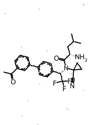 CC(=O)c1cccc(-c2ccc([C@H](N(C(=O)[C@@H](N)CC(C)C)C3(C#N)CC3)C(F)(F)F)cc2)c1